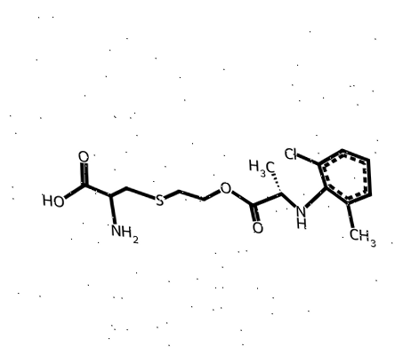 Cc1cccc(Cl)c1N[C@@H](C)C(=O)OCCSCC(N)C(=O)O